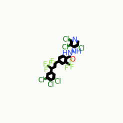 O=C(NNc1c(Cl)cnc(Cl)c1Cl)c1ccc(/C(F)=C/C(c2cc(Cl)c(Cl)c(Cl)c2)C(F)(F)F)cc1C(F)(F)F